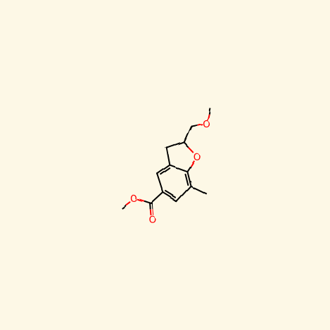 COCC1Cc2cc(C(=O)OC)cc(C)c2O1